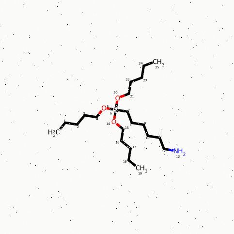 CCCCCO[Si](CCCCCCN)(OCCCCC)OCCCCC